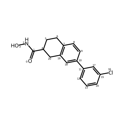 O=C(NO)C1CCc2ccc(-c3cccc(Cl)c3)cc2C1